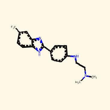 CN(C)CCNc1ccc(-c2nc3cc(C(F)(F)F)ccc3[nH]2)cc1